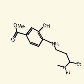 CCC(CCNc1ccc(C(=O)OC)cc1O)N(C)CC